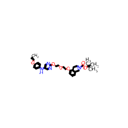 C=CCOc1ccc(Nc2cnc(OCCOCCOc3cccc4c3CCN(C(=O)OC(C)(C)C)C4)nc2)cc1